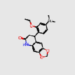 CCOc1c[c]([Au]([CH3])[CH3])ccc1C1CC(=O)Nc2cc3c(cc21)OCO3